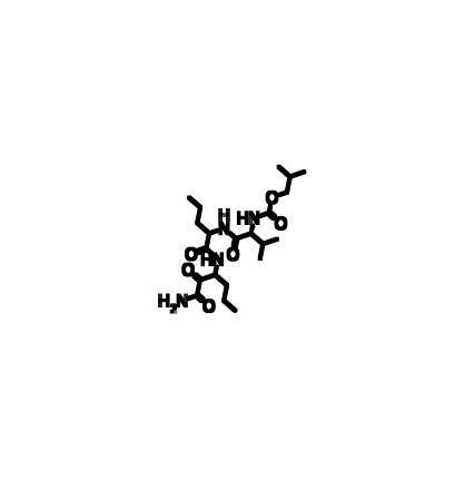 CCCC(NC(=O)[C@@H](NC(=O)OCC(C)C)C(C)C)C(=O)NC(CCC)C(=O)C(N)=O